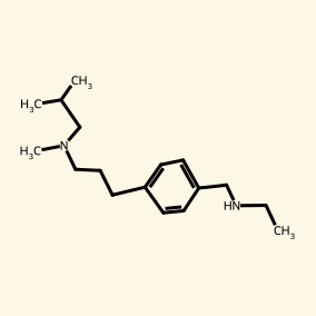 CCNCc1ccc(CCCN(C)CC(C)C)cc1